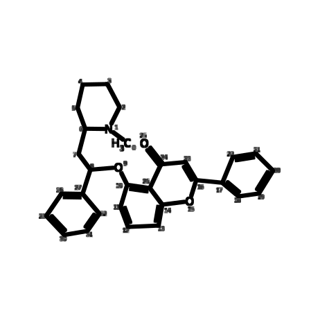 CN1CCCCC1CC(Oc1cccc2oc(-c3ccccc3)cc(=O)c12)c1ccccc1